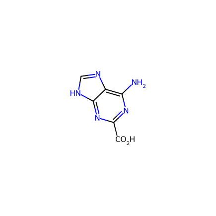 Nc1nc(C(=O)O)nc2[nH]cnc12